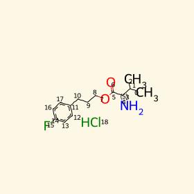 CC(C)[C@H](N)C(=O)OCCCc1ccc(F)cc1.Cl